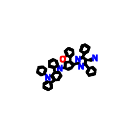 N#Cc1c(-c2ccccc2)nc(-c2ccc(-n3c4ccccc4c4c3ccc3c5ccccc5n(-c5ccccc5)c34)c3oc4ccccc4c23)nc1-c1ccccc1